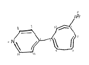 CCCc1cccc(-c2ccncc2)c1